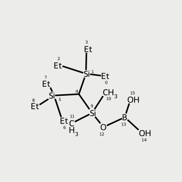 CC[Si](CC)(CC)C([Si](CC)(CC)CC)[Si](C)(C)OB(O)O